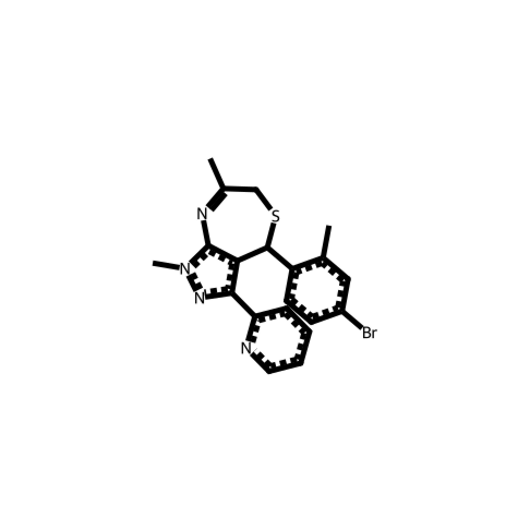 CC1=Nc2c(c(-c3ccccn3)nn2C)C(c2ccc(Br)cc2C)SC1